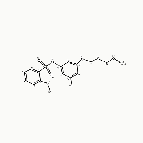 COc1ccccc1S(=O)(=O)Oc1cc(C)cc(OCCCON)c1